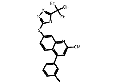 CCC(O)(CC)c1nnc(Sc2ccc3c(-c4cccc(C)c4)cc(C#N)nc3c2)o1